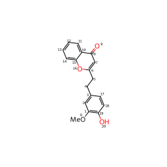 COc1cc(CCc2cc(=O)c3ccccc3o2)ccc1O